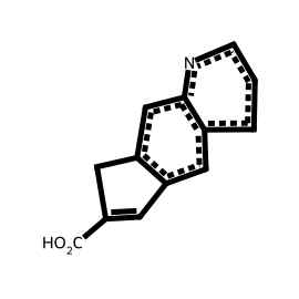 O=C(O)C1=Cc2cc3cccnc3cc2C1